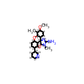 COc1ccc2c(c1C)Oc1ccc(-c3cccnc3)cc1C21N=C(N)N(C)C1=O